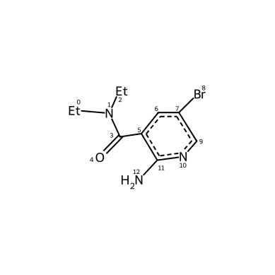 CCN(CC)C(=O)c1cc(Br)cnc1N